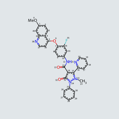 COc1ccc2c(Oc3ccc(NC(=O)c4c(-c5ccccn5)n(C)n(-c5ccccc5)c4=O)cc3F)ccnc2c1